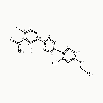 CCOc1cc(C)c(-c2cnc(-c3ccc(F)c(C(N)=O)c3F)cn2)cn1